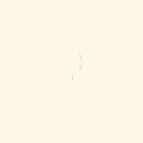 N#CC=C=CC[SH](=O)=O